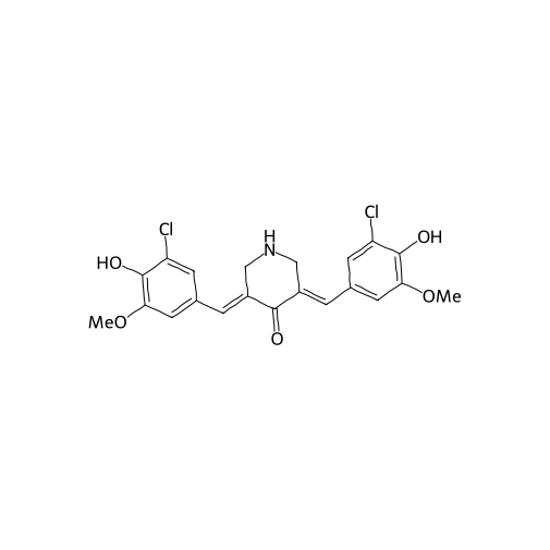 COc1cc(/C=C2\CNC/C(=C\c3cc(Cl)c(O)c(OC)c3)C2=O)cc(Cl)c1O